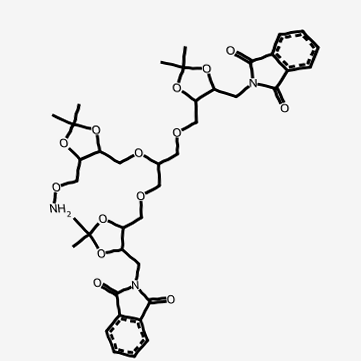 CC1(C)OC(CON)C(COC(COCC2OC(C)(C)OC2CN2C(=O)c3ccccc3C2=O)COCC2OC(C)(C)OC2CN2C(=O)c3ccccc3C2=O)O1